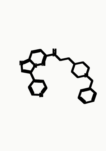 c1ccc(CN2CCC(CCNc3ccc4ncc(-c5ccncc5)n4n3)CC2)cc1